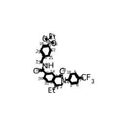 CC[C@H]1CN(c2ccc(C(F)(F)F)cc2)C(=O)c2cc(C(=O)NCc3ccc(S(=O)(=O)CC)cc3)ccc21